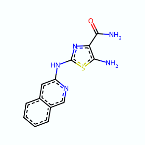 NC(=O)c1nc(Nc2cc3ccccc3cn2)sc1N